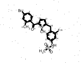 Cc1cc(Br)ccc1C(=O)c1ccc(Cc2ccc(NS(C)(=O)=O)cc2F)n1C